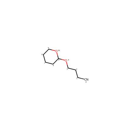 N#C[CH]CCOC1CCCCO1